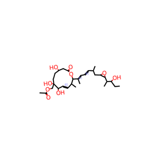 CCC(O)C(C)C1OC1CC(C)/C=C/C=C(\C)C1OC(=O)CC(O)CCC(O)(COC(C)=O)C(O)/C=C/C1C